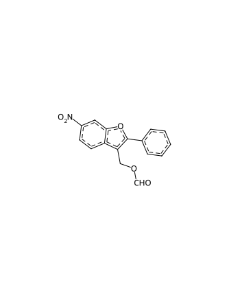 O=COCc1c(-c2ccccc2)oc2cc([N+](=O)[O-])ccc12